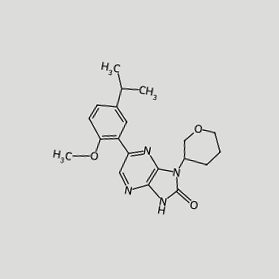 COc1ccc(C(C)C)cc1-c1cnc2[nH]c(=O)n(C3CCCOC3)c2n1